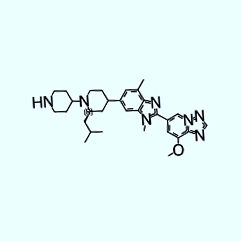 COc1cc(-c2nc3c(C)cc(C4CCN(C5CCNCC5)[C@H](CC(C)C)C4)cc3n2C)cn2ncnc12